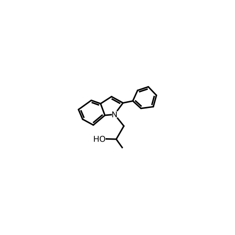 CC(O)Cn1c(-c2ccccc2)cc2ccccc21